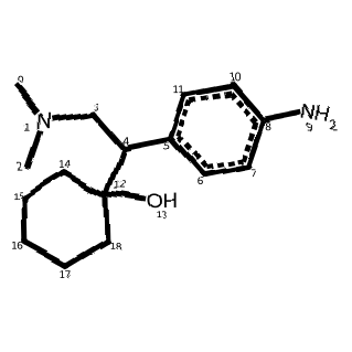 CN(C)CC(c1ccc(N)cc1)C1(O)CCCCC1